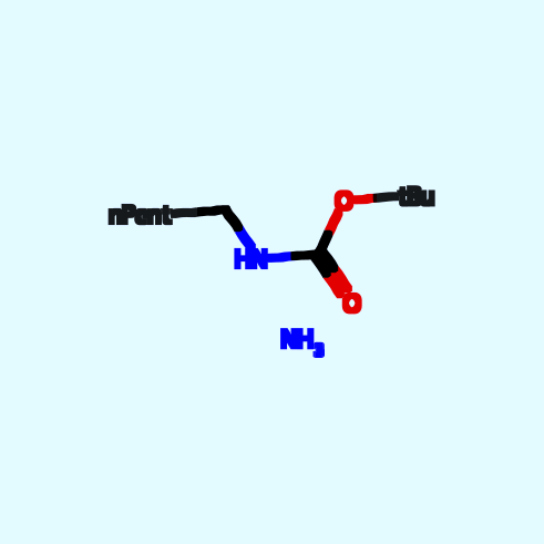 CCCCCCNC(=O)OC(C)(C)C.N